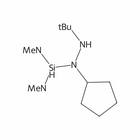 CN[SiH](NC)N(NC(C)(C)C)C1CCCC1